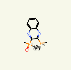 C[P@@](c1nc2ccccc2nc1[P@@](C)(=O)C(C)(C)C)C(C)(C)C